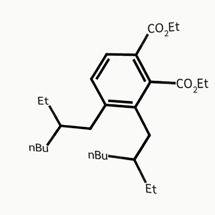 CCCCC(CC)Cc1ccc(C(=O)OCC)c(C(=O)OCC)c1CC(CC)CCCC